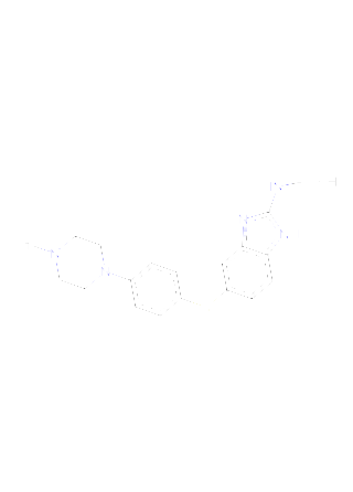 CC(C)N1CCN(c2ccc(Sc3ccc4[nH]c(NC(=O)O)nc4c3)cc2)CC1